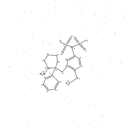 CS(=O)(=O)N(c1ccc(OC(F)(F)F)c(CC2(c3ccccc3)CCCCN2N)c1)S(C)(=O)=O